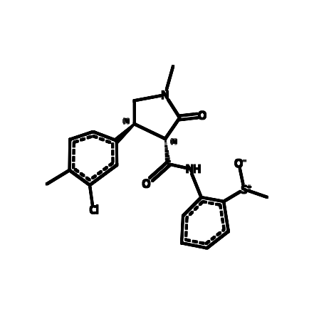 Cc1ccc([C@H]2CN(C)C(=O)[C@@H]2C(=O)Nc2ccccc2[S+](C)[O-])cc1Cl